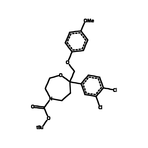 COc1ccc(OCC2(c3ccc(Cl)c(Cl)c3)CCN(C(=O)OC(C)(C)C)CCO2)cc1